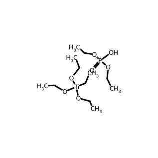 CCOP(=O)(O)OCC.CC[O][Ti]([CH2]C)([O]CC)[O]CC